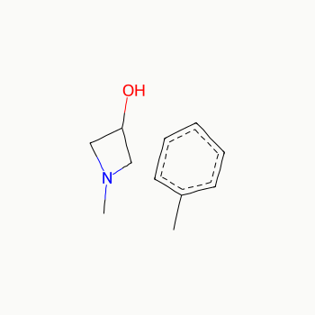 CN1CC(O)C1.Cc1ccccc1